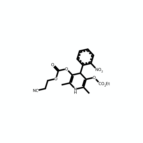 CCOC(=O)OC1=C(C)NC(C)=C(OC(=O)OCCC#N)C1c1ccccc1[N+](=O)[O-]